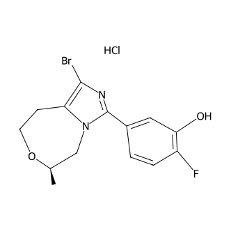 C[C@@H]1Cn2c(-c3ccc(F)c(O)c3)nc(Br)c2CCO1.Cl